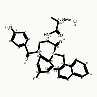 CN[C@@H](C)C(=O)N[C@H]1CN(C(=O)c2ccc(N)cc2)c2cc(Cl)ccc2N(Cc2c(OC)ccc3ccccc23)C1=O.Cl